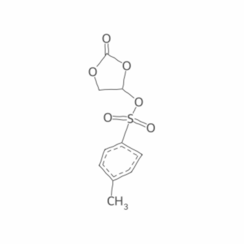 Cc1ccc(S(=O)(=O)OC2COC(=O)O2)cc1